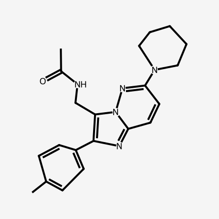 CC(=O)NCc1c(-c2ccc(C)cc2)nc2ccc(N3CCCCC3)nn12